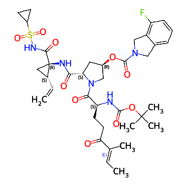 C=C[C@@H]1C[C@]1(NC(=O)[C@@H]1C[C@@H](OC(=O)N2Cc3cccc(F)c3C2)CN1C(=O)[C@H](CCC(=O)/C(C)=C/C)NC(=O)OC(C)(C)C)C(=O)NS(=O)(=O)C1CC1